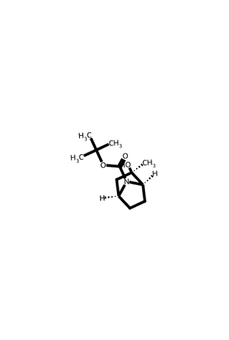 CC(C)(C)OC(=O)N1[C@H]2CC[C@@H]1[C@](C)(O)C2